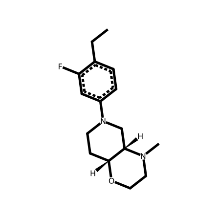 CCc1ccc(N2CC[C@H]3OCCN(C)[C@H]3C2)cc1F